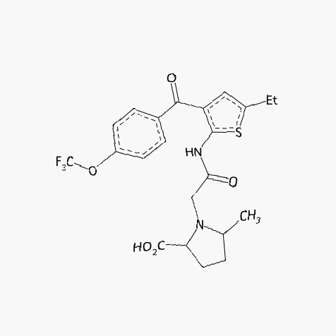 CCc1cc(C(=O)c2ccc(OC(F)(F)F)cc2)c(NC(=O)CN2C(C)CCC2C(=O)O)s1